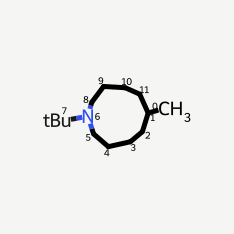 CC1CCCCN(C(C)(C)C)CCCC1